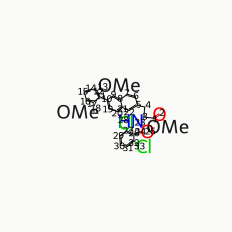 COC(=O)C(Cc1ccc2cc(-c3c(OC)cccc3OC)ccc2c1)NC(=O)c1c(Cl)cccc1Cl